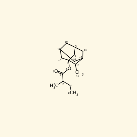 CCC(C)C(=O)OC12CC3CC(CC(C3)C1C)C2